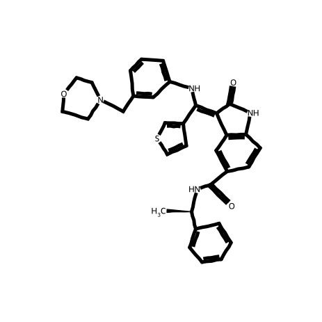 C[C@@H](NC(=O)c1ccc2c(c1)/C(=C(/Nc1cccc(CN3CCOCC3)c1)c1ccsc1)C(=O)N2)c1ccccc1